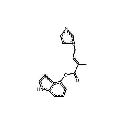 CC(=CCn1ccnc1)C(=O)Oc1cccc2[nH]ccc12